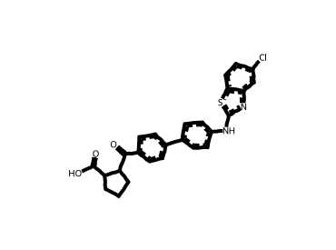 O=C(O)C1CCCC1C(=O)c1ccc(-c2ccc(Nc3nc4cc(Cl)ccc4s3)cc2)cc1